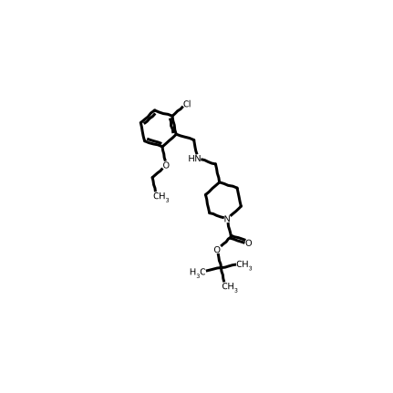 CCOc1cccc(Cl)c1CNCC1CCN(C(=O)OC(C)(C)C)CC1